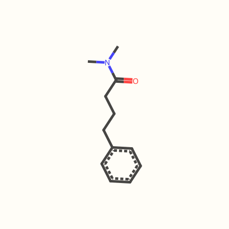 CN(C)C(=O)CCCc1ccccc1